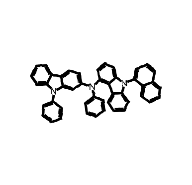 c1ccc(N(c2ccc3c4ccccc4n(-c4ccccc4)c3c2)c2cccc3c2c2ccccc2n3-c2cccc3ccccc23)cc1